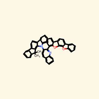 CC1(C)c2ccccc2-c2ccc3c4ccccc4n(C4=C=Cc5ccccc5N=C4c4cccc5c4oc4c5ccc5c6ccccc6oc54)c3c21